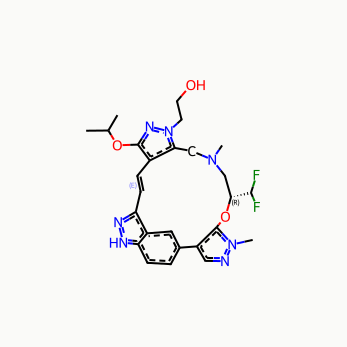 CC(C)Oc1nn(CCO)c2c1/C=C/c1n[nH]c3ccc(cc13)-c1cnn(C)c1O[C@@H](C(F)F)CN(C)C2